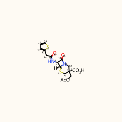 CC(=O)OCC1(C(=O)O)CS[C@@H]2C(NC(=O)Cc3cccs3)C(=O)N2C1